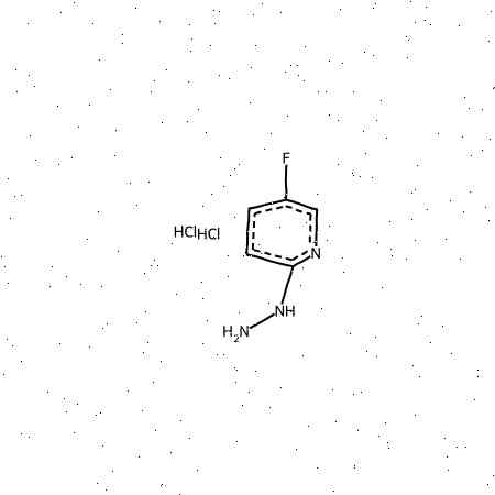 Cl.Cl.NNc1ccc(F)cn1